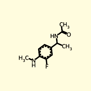 CNc1ccc(C(C)NC(C)=O)cc1F